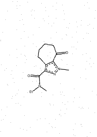 CCN(C)C(=O)c1nn(C)c2c1CCCCC2=O